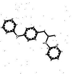 [CH2]C(Cc1ccc(Oc2ccccc2)cc1)Oc1ccccn1